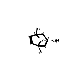 C[C@]12C=C[C@](C)(C[C@H](O)C1)O2